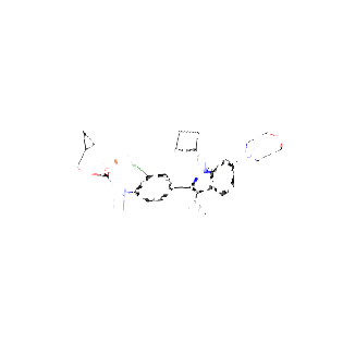 C[C@@H](OC(=O)Nc1ccc(-c2c(C#N)c3ccc(N4CCOCC4)cc3n2C2CCC2)cc1Cl)C1CC1